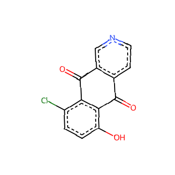 O=C1c2ccncc2C(=O)c2c(Cl)ccc(O)c21